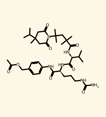 CC(=O)OCc1ccc(NC(=O)[C@H](CCCNC(N)=O)NC(=O)[C@@H](NC(=O)C(C)(C)CC(C)(C)N2C(=O)CC(C)(C(C)C)CC2=O)C(C)C)cc1